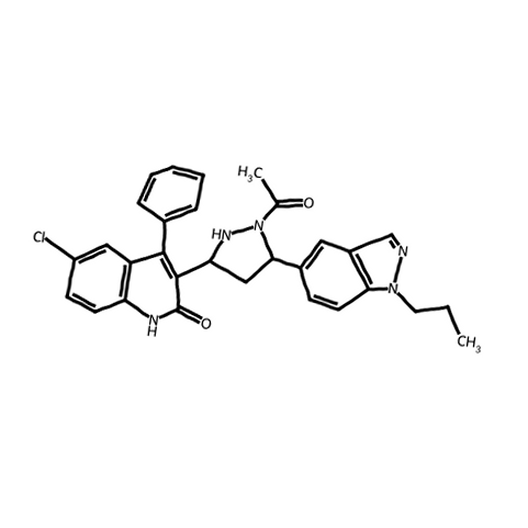 CCCn1ncc2cc(C3CC(c4c(-c5ccccc5)c5cc(Cl)ccc5[nH]c4=O)NN3C(C)=O)ccc21